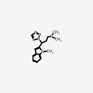 CN(C)CCC(c1cc2ccccc2n1C)n1ncnn1